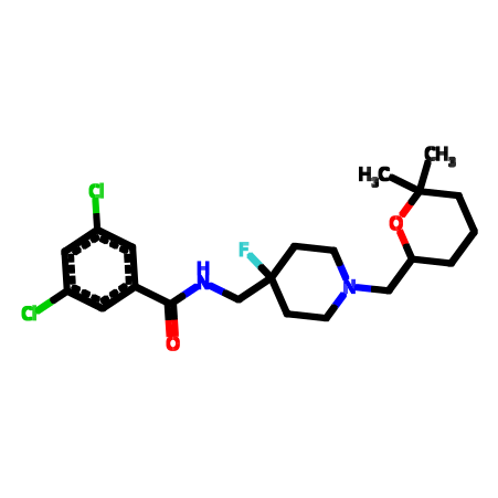 CC1(C)CCCC(CN2CCC(F)(CNC(=O)c3cc(Cl)cc(Cl)c3)CC2)O1